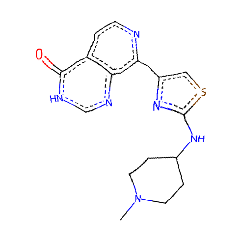 CN1CCC(Nc2nc(-c3nccc4c(=O)[nH]cnc34)cs2)CC1